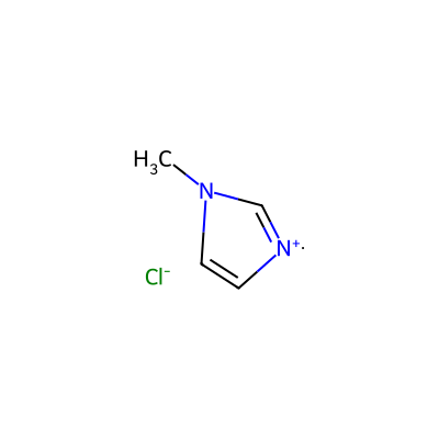 CN1C=C[N+]=C1.[Cl-]